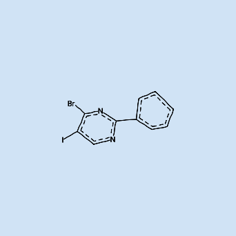 Brc1nc(-c2ccccc2)ncc1I